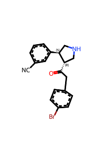 N#Cc1cccc([C@H]2CNC[C@@H]2C(=O)Cc2ccc(Br)cc2)c1